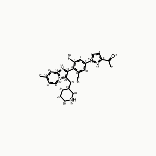 CC(=O)c1ccn(-c2cc(F)c(-c3nc4cc(C)ccn4c3CC3CCCNC3)c(F)c2)n1